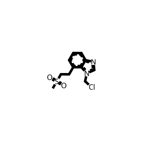 CS(=O)(=O)CCc1cccc2ncn(CCl)c12